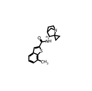 Cc1cccc2cc(C(=O)N[C@@H]3C4CCN(C4)C34CC4)sc12